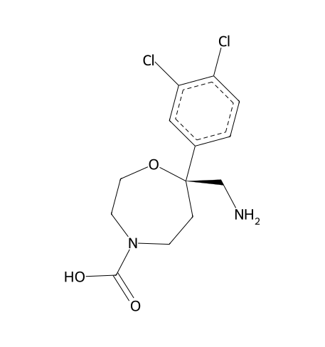 NC[C@@]1(c2ccc(Cl)c(Cl)c2)CCN(C(=O)O)CCO1